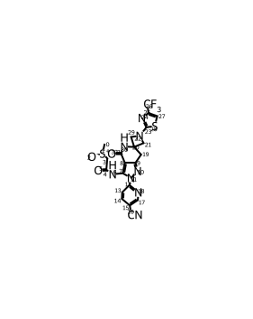 C[S+]([O-])CC(=O)Nc1c2c(nn1-c1ccc(C#N)cn1)CC1(CN(c3nc(C(F)(F)F)cs3)C1)NC2=O